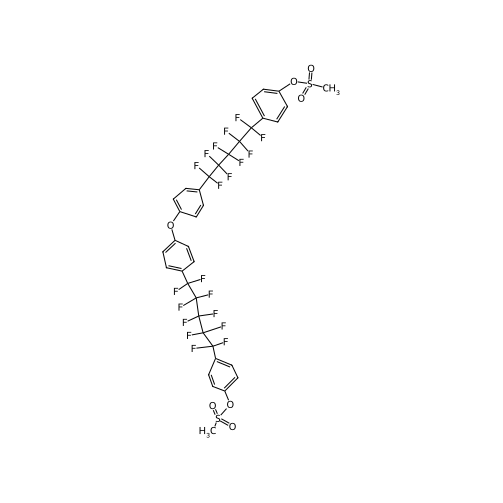 CS(=O)(=O)Oc1ccc(C(F)(F)C(F)(F)C(F)(F)C(F)(F)C(F)(F)c2ccc(Oc3ccc(C(F)(F)C(F)(F)C(F)(F)C(F)(F)C(F)(F)c4ccc(OS(C)(=O)=O)cc4)cc3)cc2)cc1